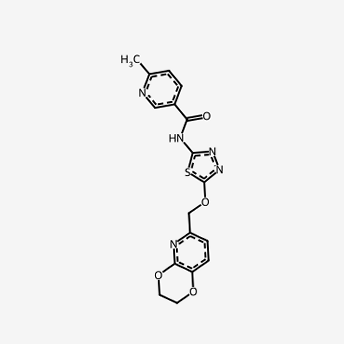 Cc1ccc(C(=O)Nc2nnc(OCc3ccc4c(n3)OCCO4)s2)cn1